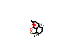 C[C@@H]1CC[C@H]2[C@@H](C)SO[C@@H]3OC4(C)CC[C@@H]1C32OO4